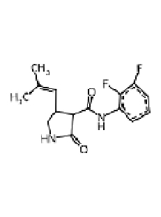 CC(C)=CC1CNC(=O)C1C(=O)Nc1cccc(F)c1F